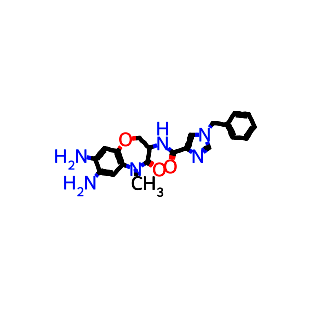 CN1C(=O)C(NC(=O)c2cn(Cc3ccccc3)cn2)COc2cc(N)c(N)cc21